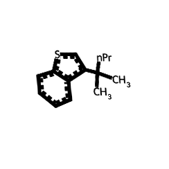 CCCC(C)(C)c1csc2ccccc12